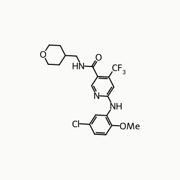 COc1ccc(Cl)cc1Nc1cc(C(F)(F)F)c(C(=O)NCC2CCOCC2)cn1